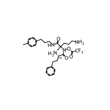 Cc1ccc(CCCNC(=O)[C@](C)(CCCN)N(OC(=O)C(F)(F)F)C(=O)[C@@H](N)CCc2ccccc2)cc1